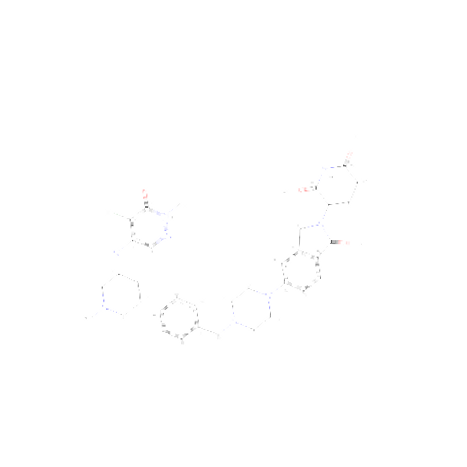 CN1C[C@H](Nc2cnn(C)c(=O)c2Br)C[C@H](c2ccc(CN3CCN(c4ccc5c(c4)CN(C4CCC(=O)NC4=O)C5=O)CC3)cc2)C1